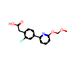 COCOc1cccc(-c2ccc(CC(=O)O)c(F)c2)n1